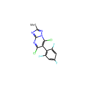 CSc1nc2nc(Cl)c(-c3c(F)cc(F)cc3F)c(Cl)n2n1